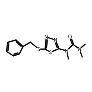 CN(C)C(=O)N(C)c1nnc(SCc2ccccc2)s1